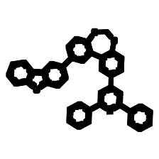 c1ccc(-c2cc(-c3ccc4c(c3)-c3cc(-c5ccc6oc7ccccc7c6c5)ccc3OCO4)cc(-c3ccccc3)n2)cc1